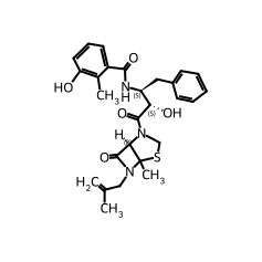 C=C(C)CN1C(=O)[C@H]2N(C(=O)[C@@H](O)[C@H](Cc3ccccc3)NC(=O)c3cccc(O)c3C)CSC21C